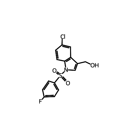 O=S(=O)(c1ccc(F)cc1)n1cc(CO)c2cc(Cl)ccc21